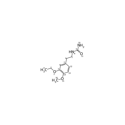 CCOc1cc(CCNC(N)=O)ccc1OC